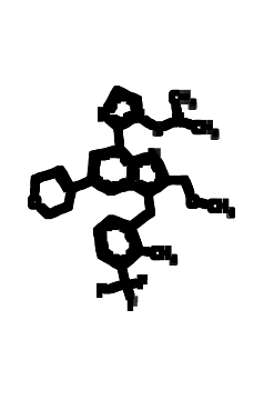 COCc1nc2c(-c3nccn3SN(C)C)cc(C3=CCOCC3)cn2c1Cc1cccc(C(F)(F)F)c1C